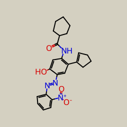 O=C(Nc1cc(O)c(N=Nc2ccccc2[N+](=O)[O-])cc1C1=CCCC1)C1CCCCC1